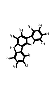 [2H]c1c(Cl)c([2H])c2c([nH]c3c([2H])c([2H])c4c(oc5c([2H])c([2H])c([2H])c([2H])c54)c32)c1[2H]